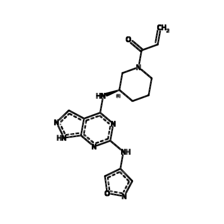 C=CC(=O)N1CCC[C@@H](Nc2nc(Nc3cnoc3)nc3[nH]ncc23)C1